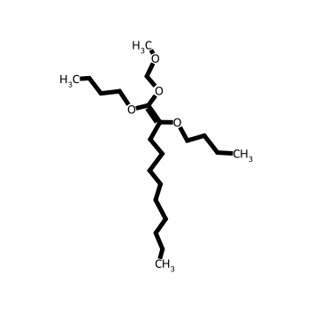 CCCCCCCCC/C(OCCCC)=C(\OCCCC)OCOC